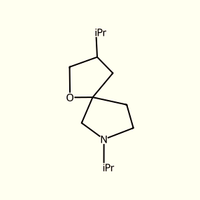 CC(C)C1COC2(CCN(C(C)C)C2)C1